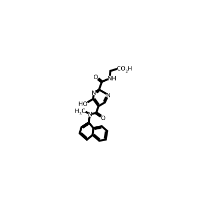 CN(C(=O)c1cnc(C(=O)NCC(=O)O)nc1O)c1cccc2ccccc12